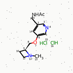 CC(=O)NCc1cncc(OC[C@@H]2CCN2C)c1.Cl.Cl